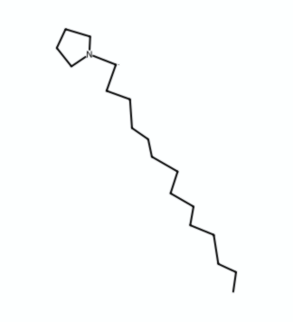 CCCCCCCCCCCCC[CH]N1CCCC1